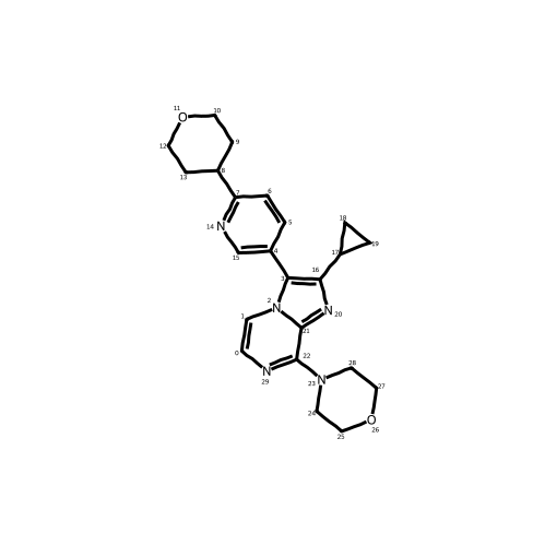 c1cn2c(-c3ccc(C4CCOCC4)nc3)c(C3CC3)nc2c(N2CCOCC2)n1